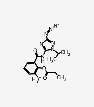 CCC(=O)Oc1c(C)cccc1C(=O)Nc1nc(N=[N+]=[N-])nn1C(C)C